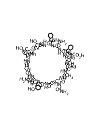 CCCC[C@H]1C(=O)N(C)[C@@H](CCCC)C(=O)N[C@@H](C)C(=O)N[C@H](C(=O)NCC(N)=O)CSCC(=O)N[C@@H](Cc2ccc(O)cc2)C(=O)N(C)[C@@H](C)C(=O)N[C@@H](CC(N)=O)C(=O)N2CCC[C@H]2C(=O)N[C@@H](Cc2cnc[nH]2)C(=O)N[C@@H](CCC(=O)O)C(=O)N2C[C@H](O)C[C@H]2C(=O)N[C@@H](Cc2c[nH]c3ccccc23)C(=O)N[C@@H](CCN)C(=O)N[C@@H](Cc2cn(CC(=O)O)c3ccccc23)C(=O)N1C